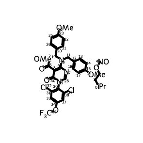 CC(C)CCON=O.COC(=O)c1c(N(Cc2ccc(OC)cc2)Cc2ccc(OC)cc2)ncn(-c2c(Cl)cc(OC(F)(F)F)cc2Cl)c1=O